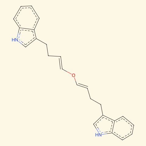 C(=COC=CCCc1c[nH]c2ccccc12)CCc1c[nH]c2ccccc12